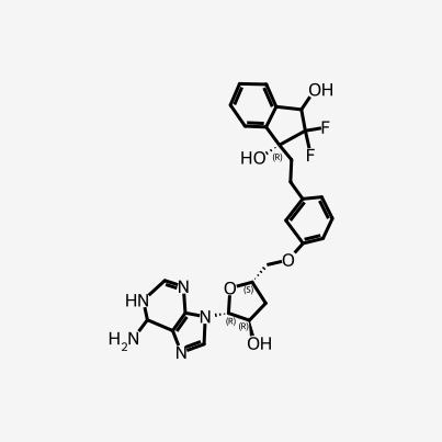 NC1NC=Nc2c1ncn2[C@@H]1O[C@H](COc2cccc(CC[C@@]3(O)c4ccccc4C(O)C3(F)F)c2)C[C@H]1O